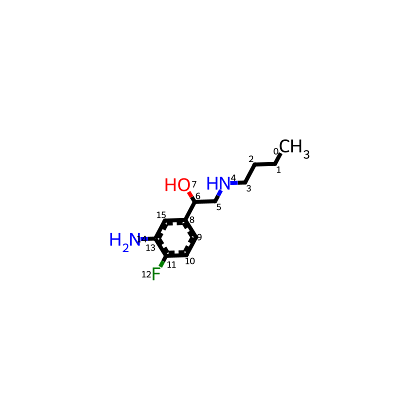 CCCCNCC(O)c1ccc(F)c(N)c1